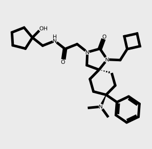 CN(C)[C@]1(c2ccccc2)CC[C@]2(CC1)CN(CC(=O)NCC1(O)CCCC1)C(=O)N2CC1CCC1